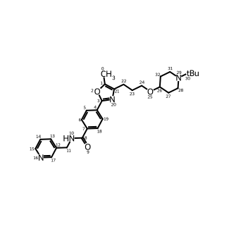 Cc1oc(-c2ccc(C(=O)NCc3cccnc3)cc2)nc1CCCOC1CCN(C(C)(C)C)CC1